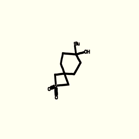 CC(C)(C)C1(O)CCC2(CC1)CS(=O)(=O)C2